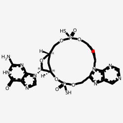 Nc1nc2c(ncn2[C@@H]2O[C@@H]3COP(=O)(S)OC4CC(C4)n4c(nc5cncnc54)COP(=O)(S)O[C@@H]2C3)c(=O)[nH]1